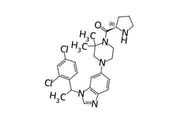 CC(c1ccc(Cl)cc1Cl)n1cnc2ccc(N3CCN(C(=O)[C@H]4CCCN4)C(C)(C)C3)cc21